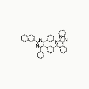 c1ccc(-c2nc(-c3ccc4ccccc4c3)nc(-c3ccccc3)c2-c2cccc(-c3nc4c(nc5ccccn54)c4ccccc34)c2)cc1